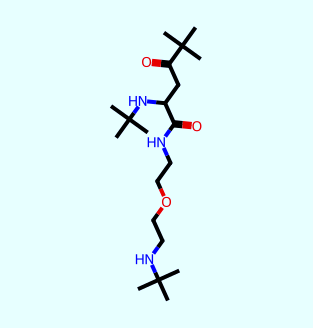 CC(C)(C)NCCOCCNC(=O)C(CC(=O)C(C)(C)C)NC(C)(C)C